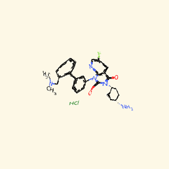 CN(C)Cc1ccccc1-c1cccc(-n2c(=O)n([C@H]3CC[C@@H](N)CC3)c(=O)c3cc(F)cnc32)c1.Cl